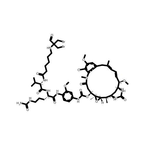 COc1cc(NC(=O)O[C@H]2CC(=O)N(C)c3cc(cc(OC)c3Cl)C/C(C)=C/C=C/[C@@H](OC)[C@@]3(O)C[C@H](OC(=O)N3)[C@@H](C)[C@@H]3O[C@@]23C)ccc1NC(=O)[C@H](CCCNC(N)=O)NC(=O)[C@@H](NC(=O)CCCCCNC(C=O)(CBr)CBr)C(C)C